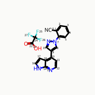 N#Cc1ccccc1-n1cc(-c2ccnc3[nH]ccc23)cn1.O=C(O)C(F)(F)F